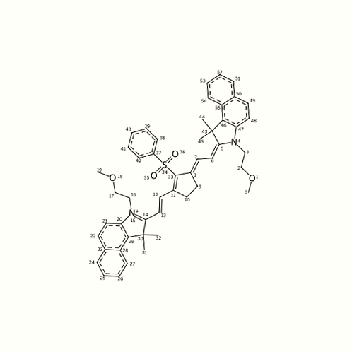 COCCN1/C(=C/C=C2\CCC(/C=C/C3=[N+](CCOC)c4ccc5ccccc5c4C3(C)C)=C2S(=O)(=O)c2ccccc2)C(C)(C)c2c1ccc1ccccc21